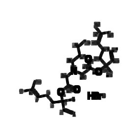 Br.C=CC(C)(CCC=C(C)C)OC(=O)CN(CCCC)CC(=O)OC(C)(C=C)CCC=C(C)C